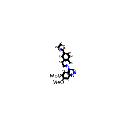 COc1cc2nncc(N3CCc4cc(-c5nccs5)ccc4C3)c2cc1OC